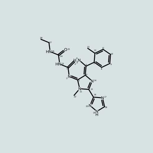 C=C(/N=C1\C(=C(/N)c2ccccc2C)N=C(c2nc[nH]n2)N1C)NC(=O)NCC